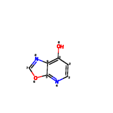 Oc1ccnc2ocnc12